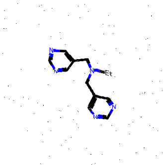 CCN(Cc1cncnc1)Cc1cncnc1